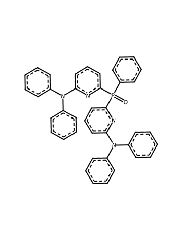 O=P(c1ccccc1)(c1cccc(N(c2ccccc2)c2ccccc2)n1)c1cccc(N(c2ccccc2)c2ccccc2)n1